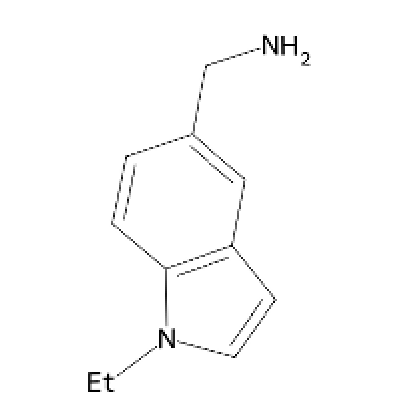 CCn1ccc2cc(CN)ccc21